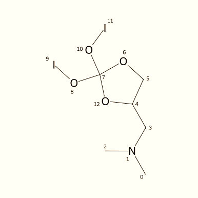 CN(C)CC1COC(OI)(OI)O1